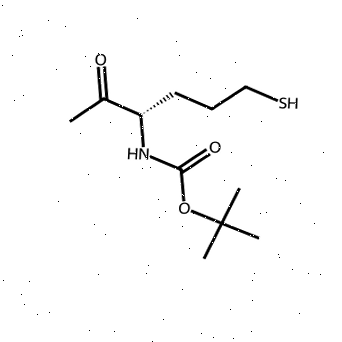 CC(=O)[C@H](CCCS)NC(=O)OC(C)(C)C